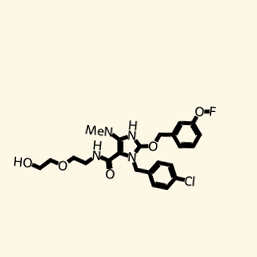 CNC1=C(C(=O)NCCOCCO)N(Cc2ccc(Cl)cc2)C(OCc2cccc(OF)c2)N1